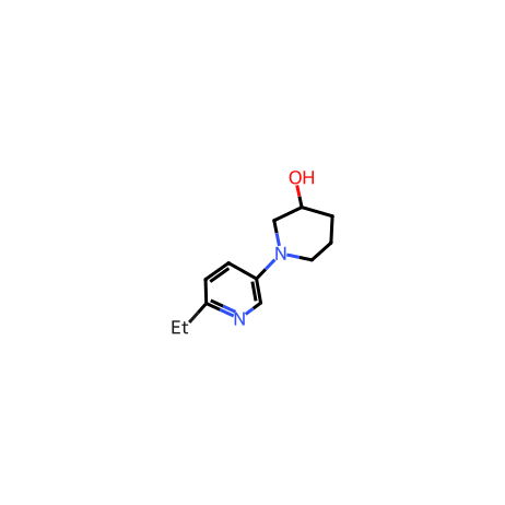 CCc1ccc(N2CCCC(O)C2)cn1